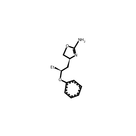 CC[C@@H](C[C@H]1COC(N)=N1)Oc1ccccc1